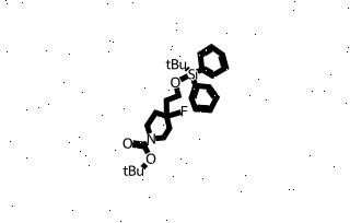 CC(C)(C)OC(=O)N1CCC(F)(CCO[Si](c2ccccc2)(c2ccccc2)C(C)(C)C)CC1